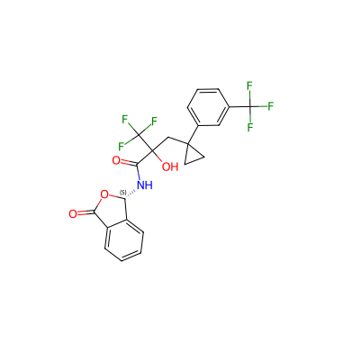 O=C1O[C@H](NC(=O)C(O)(CC2(c3cccc(C(F)(F)F)c3)CC2)C(F)(F)F)c2ccccc21